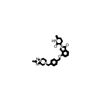 C=C1CCC(N2Cc3c(OCc4ccc(CN5CCn6nc(C)nc6C5)cc4)cccc3C2=O)C(=O)N1